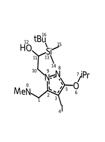 CNCc1c(I)c(OC(C)C)nn1CC(O)[Si](C)(C)C(C)(C)C